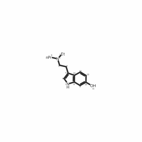 CCCN(CC)CCc1c[nH]c2cc(O)ccc12